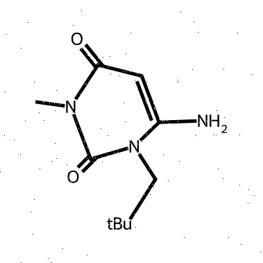 Cn1c(=O)cc(N)n(CC(C)(C)C)c1=O